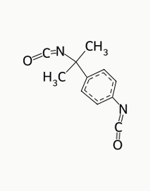 CC(C)(N=C=O)c1ccc(N=C=O)cc1